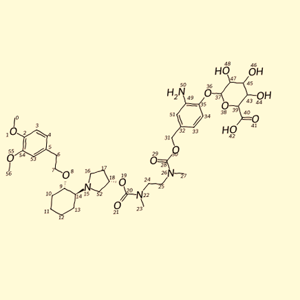 COc1ccc(CCO[C@H]2CCCC[C@@H]2N2CC[C@H](OC(=O)N(C)CCN(C)C(=O)OCc3ccc(OC4OC(C(=O)O)C(O)C(O)C4O)c(N)c3)C2)cc1OC